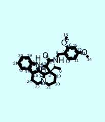 CC[C@@]1(C(C)C(=O)NCc2ccc(OC)cc2OC)CCCN2CCc3c([nH]c4ccccc34)[C@@H]21